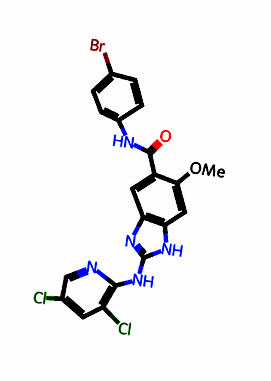 COc1cc2[nH]c(Nc3ncc(Cl)cc3Cl)nc2cc1C(=O)Nc1ccc(Br)cc1